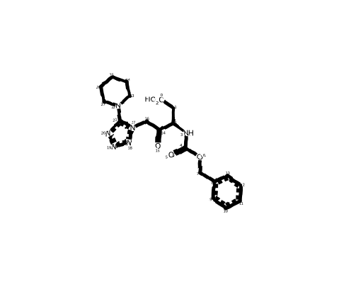 O=C(O)CC(NC(=O)OCc1ccccc1)C(=O)Cn1nnnc1N1CCCCC1